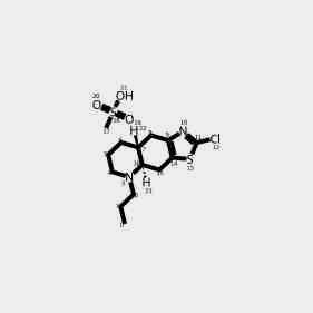 CCCN1CCC[C@@H]2Cc3nc(Cl)sc3C[C@H]21.CS(=O)(=O)O